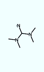 CN(C)C([N])N(C)C